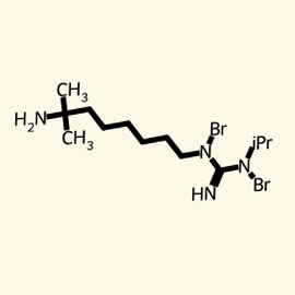 CC(C)N(Br)C(=N)N(Br)CCCCCCC(C)(C)N